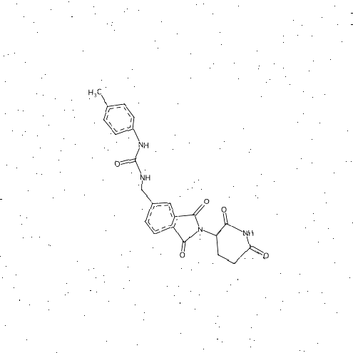 Cc1ccc(NC(=O)NCc2ccc3c(c2)C(=O)N(C2CCC(=O)NC2=O)C3=O)cc1